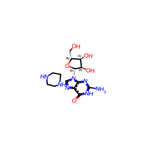 C1CNCCN1.Nc1nc2c(ncn2[C@@H]2O[C@H](CO)[C@@H](O)[C@H]2O)c(=O)[nH]1